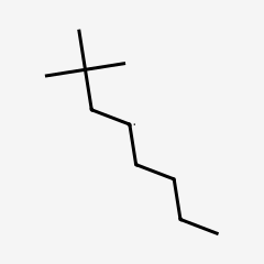 CCCC[CH]CC(C)(C)C